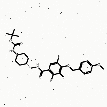 COc1ccc(COc2c(F)cc(C(=O)NC[C@H]3CC[C@H](NC(=O)OC(C)(C)C)CC3)c(F)c2F)cc1